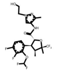 Cc1nn(CCO)cc1NC(=O)[C@@H]1O[C@@](C)(C(F)(F)F)[C@@H](C)[C@H]1c1ccc(F)c(F)c1OC(F)F